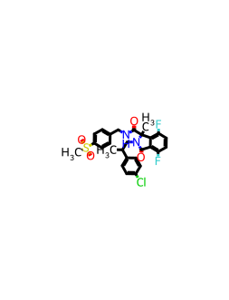 CC(CN1C(=O)c2c(F)ccc(F)c2C1(C)C(=O)NCc1ccc(S(C)(=O)=O)cc1)c1ccc(Cl)cc1